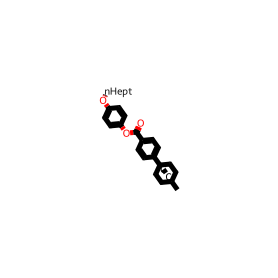 CCCCCCCOc1ccc(OC(=O)c2ccc(C34CCC(C)(CC3)CC4)cc2)cc1